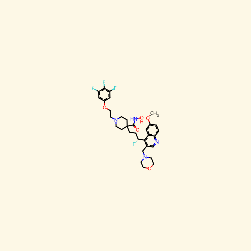 COc1ccc2ncc(CN3CCOCC3)c([C@H](F)CCC3(C(=O)NO)CCN(CCOc4cc(F)c(F)c(F)c4)CC3)c2c1